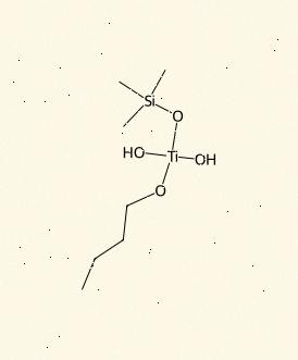 CCCC[O][Ti]([OH])([OH])[O][Si](C)(C)C